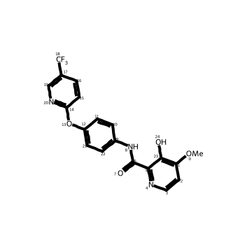 COc1ccnc(C(=O)Nc2ccc(Oc3ccc(C(F)(F)F)cn3)cc2)c1O